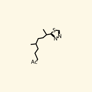 CC(=O)CCCC(C)CCC(C)c1nncs1